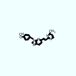 COc1ccc(Cn2cnc3ccc(C=Cc4nccc(C)n4)nc32)cc1